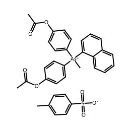 CC(=O)Oc1ccc([As+](C)(c2ccc(OC(C)=O)cc2)c2cccc3ccccc23)cc1.Cc1ccc(S(=O)(=O)[O-])cc1